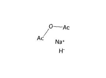 CC(=O)OC(C)=O.[H-].[Na+]